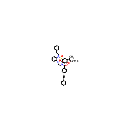 Cc1c(C(=O)O)oc2ccc(S(=O)(=O)N(CCc3ccccc3)c3ccccc3N3CCN(C(=O)c4ccc(C#Cc5ccccc5)cc4)CC3)cc12